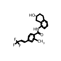 Cc1cc(C=CC(F)(F)F)ccc1C(=O)Nc1cccc2c1C[C@H](O)CC2